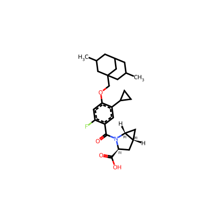 CC1CC2CC(C)CC(COc3cc(F)c(C(=O)N4[C@@H]5C[C@@H]5C[C@H]4C(=O)O)cc3C3CC3)(C1)C2